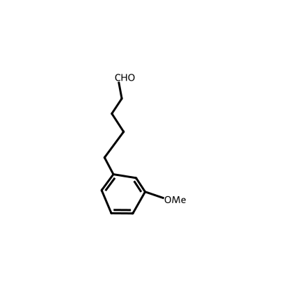 COc1cccc(CCCCC=O)c1